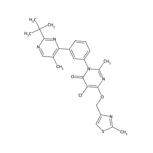 Cc1nc(COc2nc(C)n(-c3cccc(-c4nc(C(C)(C)C)ncc4C)c3)c(=O)c2Cl)cs1